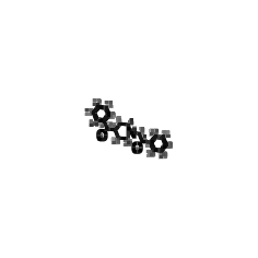 O=C(CN1CCC(C(=O)c2ccccc2)CC1)c1ccccc1